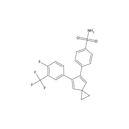 NS(=O)(=O)c1ccc(C2=CC3(C=C2c2ccc(F)c(C(F)(F)F)c2)CC3)cc1